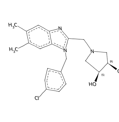 Cc1cc2nc(CN3C[C@@H](O)[C@@H](O)C3)n(Cc3ccc(Cl)cc3)c2cc1C